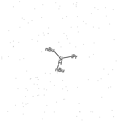 CCCC[SiH](CCCC)C(C)C